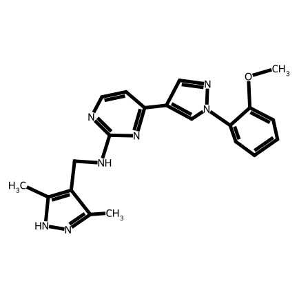 COc1ccccc1-n1cc(-c2ccnc(NCc3c(C)n[nH]c3C)n2)cn1